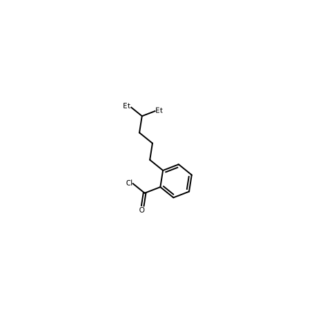 CCC(CC)CCCc1ccccc1C(=O)Cl